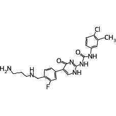 Cc1cc(NC(=O)Nc2nc(=O)c(-c3ccc(CNCCCN)c(F)c3)c[nH]2)ccc1Cl